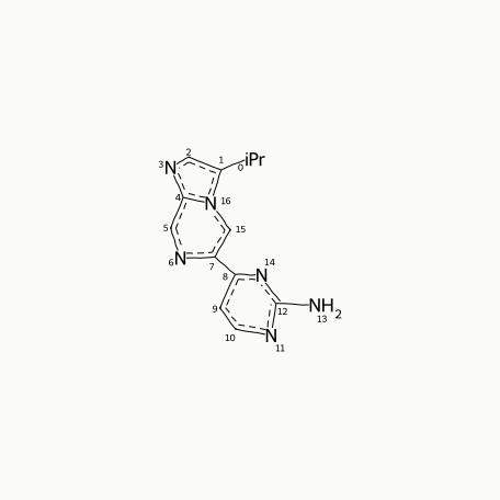 CC(C)c1cnc2cnc(-c3ccnc(N)n3)cn12